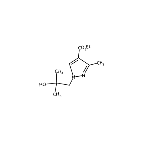 CCOC(=O)c1cn(CC(C)(C)O)nc1C(F)(F)F